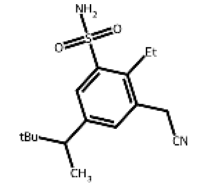 CCc1c(CC#N)cc(C(C)C(C)(C)C)cc1S(N)(=O)=O